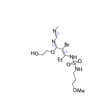 CC\C(NS(=O)(=O)NCCCOC)=C(Br)/C(=N\C=N\C)OCCO